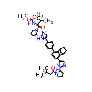 COC(=O)N[C@H](C(=O)N1CCC[C@H]1c1ncc(-c2ccc(-c3ccc(-c4cnc([C@@H]5CCCN5C(=O)CC(C)C)[nH]4)c4c3C3CCC4C3)cc2)[nH]1)C(C)C